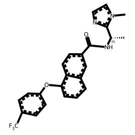 C[C@H](NC(=O)c1ccc2c(Oc3ccc(C(F)(F)F)cc3)cccc2c1)c1nccn1C